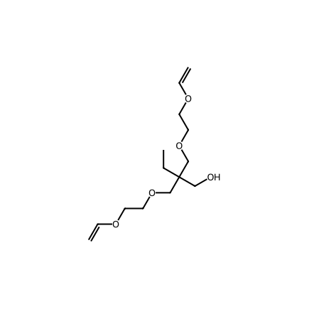 C=COCCOCC(CC)(CO)COCCOC=C